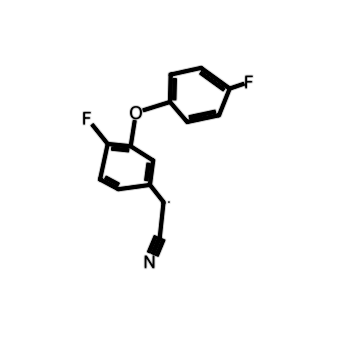 N#C[CH]c1ccc(F)c(Oc2ccc(F)cc2)c1